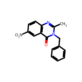 Cc1nc2ccc([N+](=O)[O-])cc2c(=O)n1Cc1ccccc1